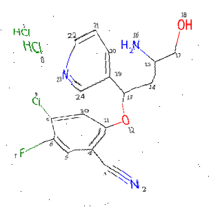 Cl.Cl.N#Cc1cc(F)c(Cl)cc1OC(CC(N)CO)c1cccnc1